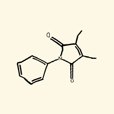 CC1=C(C)C(=O)N(c2ccccc2)C1=O